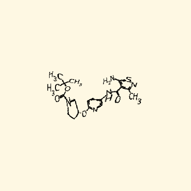 Cc1nsc(N)c1C(=O)Nc1ccc(O[C@@H]2CCN(C(=O)OC(C)(C)C)C2)nc1